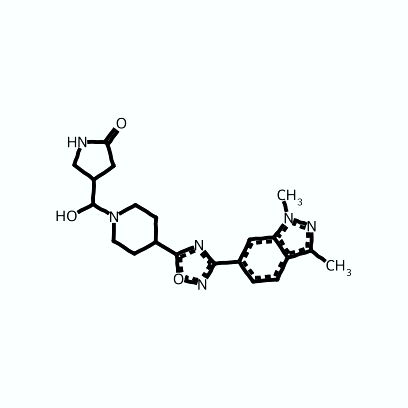 Cc1nn(C)c2cc(-c3noc(C4CCN(C(O)C5CNC(=O)C5)CC4)n3)ccc12